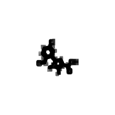 Cc1c(C(=O)O)cc(-c2cc(Cl)ccc2C=O)n1C